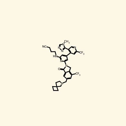 Cn1cnnc1-c1cnc(C(F)(F)F)cc1-c1cc(NCCCC#N)nc(N2Cc3c(cc(CN4CCC5(CCC5)C4)cc3C(F)(F)F)C2=O)c1